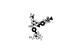 CC(C)(C)OC(=O)c1ccc(Nc2nc(NC3(c4ccc(ONS(=O)(=O)C5CC5)cc4)CC3)nc(OCC(F)(F)F)n2)cc1